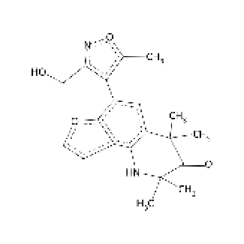 Cc1onc(CO)c1-c1cc2c(c3ccoc13)NC(C)(C)C(=O)C2(C)C